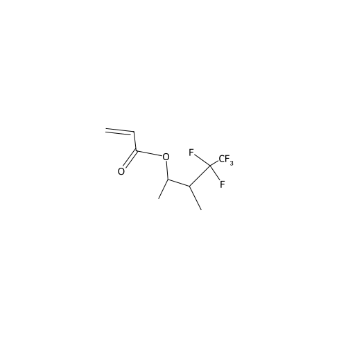 C=CC(=O)OC(C)C(C)C(F)(F)C(F)(F)F